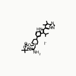 Cc1c(-c2[nH]c3ccc(C4CC[N+](COP(=O)(O)OC(C)(C)C)(CC(N)=O)CC4)cc3c2C(C)C)cn2ncnc2c1C.[I-]